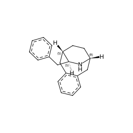 c1ccc(C[C@@H]2N[C@@H]3CC[C@H]2Cc2ccccc2C3)cc1